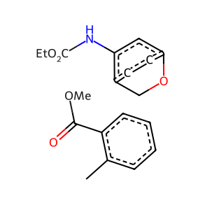 CCOC(=O)Nc1cc2ccc1CO2.COC(=O)c1ccccc1C